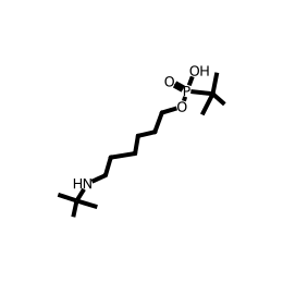 CC(C)(C)NCCCCCCOP(=O)(O)C(C)(C)C